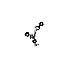 O=[N+]([O-])c1ccc(C(CCCCN2CCC(c3c[c]ccc3)CC2)=NNc2ccccc2)cc1